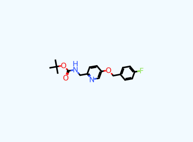 CC(C)(C)OC(=O)NCc1ccc(OCc2ccc(F)cc2)cn1